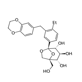 CCc1ccc([C@]23OC[C@](CO)(O2)[C@@H](O)[C@H](O)[C@H]3O)cc1Cc1ccc2c(c1)OCCO2